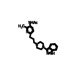 CC(=O)Nc1ccc(CCCN2CCN(c3n[nH]c4ccccc34)CC2)nc1C